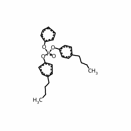 CCCCc1ccc(OP(=O)(Oc2ccccc2)Oc2ccc(CCCC)cc2)cc1